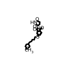 CN1CCC(CCCCCOc2ccc3c(c2)C(=O)N(C2CCC(=O)NC2=O)C3=O)CC1